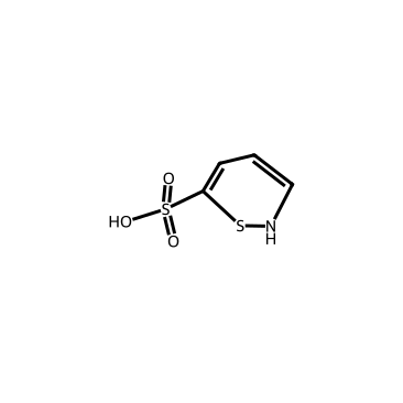 O=S(=O)(O)C1=CC=CNS1